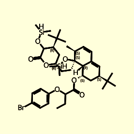 CCC(Oc1ccc(Br)cc1)C(=O)O[C@H]1C[C@H](C(C)(C)C)C=C2C=C[C@H](C)[C@](CC[C@@H]3C[C@H](C(C)(C)C)C(O[SiH](C)C)C(=O)O3)(O[SiH](C)C)[C@H]21